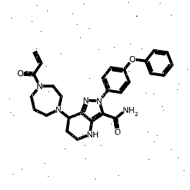 C=CC(=O)N1CCCN(C2CCNc3c2nn(-c2ccc(Oc4ccccc4)cc2)c3C(N)=O)CC1